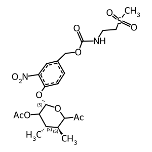 CC(=O)OC1[C@H](Oc2ccc(COC(=O)NCCS(C)(=O)=O)cc2[N+](=O)[O-])OC(C(C)=O)[C@@H](C)[C@@H]1C